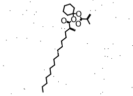 C=C(C)C(=O)OC1(OC(=O)C(=C)CCCCCCCCCCCCCC)CCCCC1